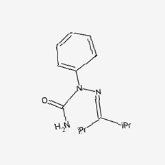 CC(C)C(=NN(C(N)=O)c1ccccc1)C(C)C